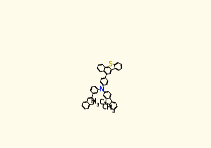 CC1(C)c2ccccc2-c2ccc(N(c3ccc(-c4cc5c6ccccc6sc5c5ccccc45)cc3)c3cccc(-c4ccc5ccccc5c4)c3)cc21